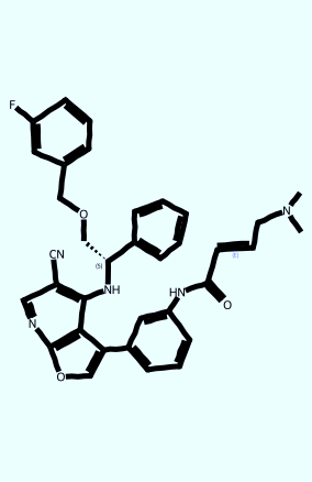 CN(C)C/C=C/C(=O)Nc1cccc(-c2coc3ncc(C#N)c(N[C@H](COCc4cccc(F)c4)c4ccccc4)c23)c1